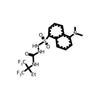 CCC(NC(=O)NNS(=O)(=O)c1cccc2c(N(C)C)cccc12)(C(F)(F)F)C(F)(F)F